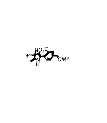 C=C1NC(c2ncc(COC)cc2C(=O)O)=CC1(C)C(C)C